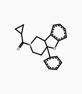 O=C(C1CC1)N1CCC2(c3ccccc3)Oc3ccccc3C2C1